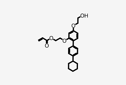 C=CC(=O)OCCOc1cc(OCCO)ccc1-c1ccc(C2CCCCC2)cc1